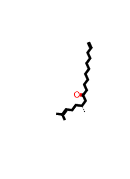 C=CCCCCCCCCC(=O)C[C@H](C)CCC=C(C)C